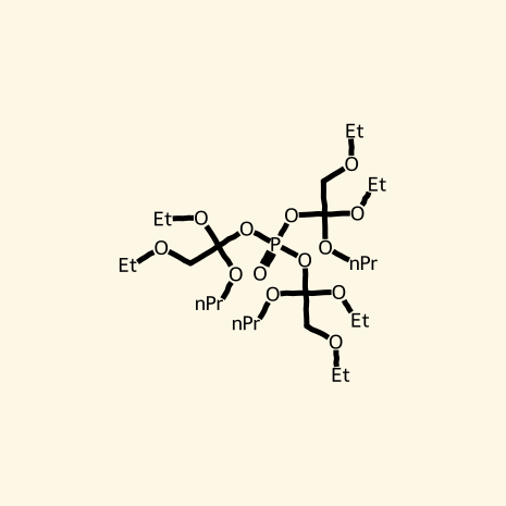 CCCOC(COCC)(OCC)OP(=O)(OC(COCC)(OCC)OCCC)OC(COCC)(OCC)OCCC